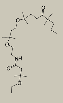 CCCC(C)(C)C(=O)CCC(C)(C)OCCC(C)(C)OCCNC(=O)CC(C)(C)OCC